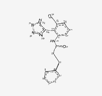 O=C(CCc1ccccc1)Nc1cccc(Cl)c1-c1nnn[nH]1